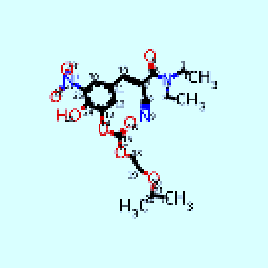 CCN(CC)C(=O)/C(C#N)=C/c1cc(OC(=O)OCCOC(C)C)c(O)c([N+](=O)[O-])c1